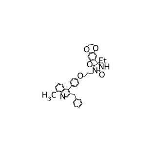 CCC1(c2ccc3c(c2)OCCO3)NC(=O)N(CCCOc2ccc(-c3c(Cc4ccccc4)cnc4c(C)cccc34)cc2)C1=O